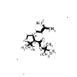 CC(C)=CC[C@H]1COC(C)(C)C1C(=O)OC(C)(C)C